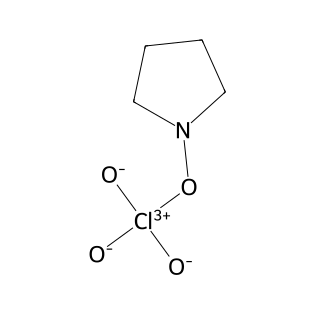 [O-][Cl+3]([O-])([O-])ON1CCCC1